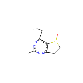 CCc1nc(C)nc2c1[S+]([O-])CC2